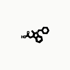 Cc1c(CC(=O)O)c2ccccc2n1CC1CCCCC1